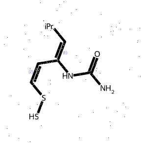 CC(C)/C=C(\C=C/SS)NC(N)=O